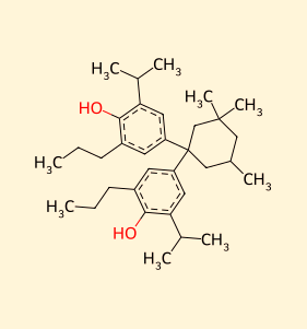 CCCc1cc(C2(c3cc(CCC)c(O)c(C(C)C)c3)CC(C)CC(C)(C)C2)cc(C(C)C)c1O